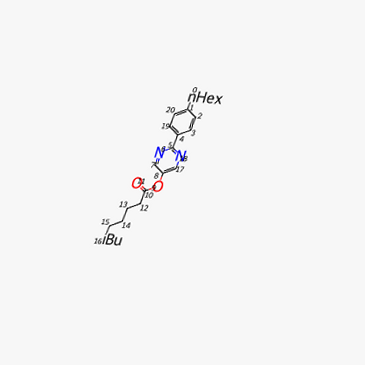 CCCCCCc1ccc(-c2ncc(OC(=O)CCCCC(C)CC)cn2)cc1